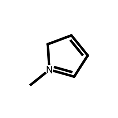 C[N+]1=CC=CC1